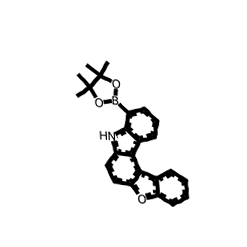 CC1(C)OB(c2cccc3c2[nH]c2ccc4oc5ccccc5c4c23)OC1(C)C